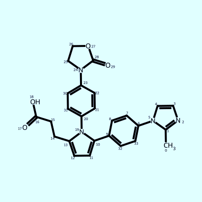 Cc1nccn1-c1ccc(-c2ccc(CCC(=O)O)n2-c2ccc(N3CCOC3=O)cc2)cc1